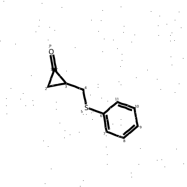 O=C1CC1CSc1ccccc1